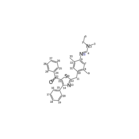 CCN(C)/C=N/c1cc(C)c(Cc2nc(-c3ccccc3)c(C(=O)c3ccccc3)s2)cc1C